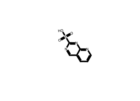 O=S(=O)(O)c1ncc2cccnc2n1